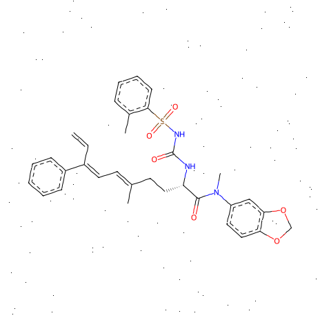 C=C/C(=C\C=C(/C)CC[C@H](NC(=O)NS(=O)(=O)c1ccccc1C)C(=O)N(C)c1ccc2c(c1)OCO2)c1ccccc1